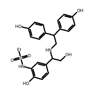 CCS(=O)(=O)Nc1cc(C(CO)NCC(c2ccc(O)cc2)c2ccc(O)cc2)ccc1O